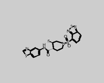 O=C(Nc1ccc2scnc2c1)[C@H]1CCN(S(=O)(=O)c2cccc3nsnc23)C[C@@H]1F